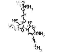 CC#Cc1cn([C@@H]2O[C@H](CO)[C@@H](O)[C@H]2OCCON(C)C)c(=O)nc1N